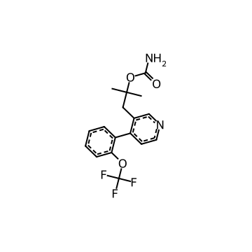 CC(C)(Cc1cnccc1-c1ccccc1OC(F)(F)F)OC(N)=O